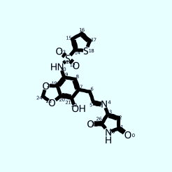 O=C1C=C(N=CCc2cc(NS(=O)(=O)c3cccs3)c3c(c2O)OCO3)C(=O)N1